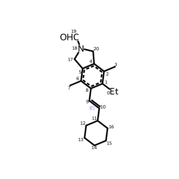 CCc1c(C)c2c(c(C)c1/C=C/C1CCCCC1)CN(C=O)C2